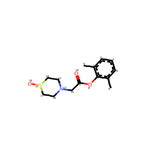 Cc1cccc(C)c1OC(=O)CN1CC[S+]([O-])CC1